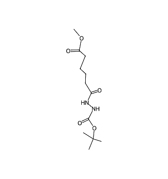 COC(=O)CCCCC(=O)NNC(=O)OC(C)(C)C